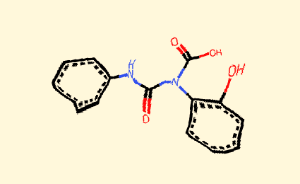 O=C(O)N(C(=O)Nc1ccccc1)c1ccccc1O